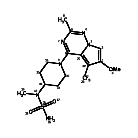 COc1cn2nc(C)nc(N3CCC(N(C)S(N)(=O)=O)CC3)c2c1C(F)(F)F